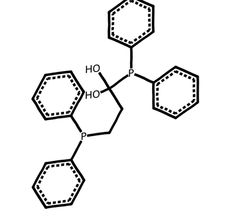 OC(O)(CCP(c1ccccc1)c1ccccc1)P(c1ccccc1)c1ccccc1